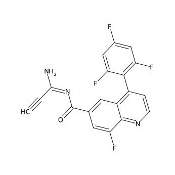 C#C/C(N)=N\C(=O)c1cc(F)c2nccc(-c3c(F)cc(F)cc3F)c2c1